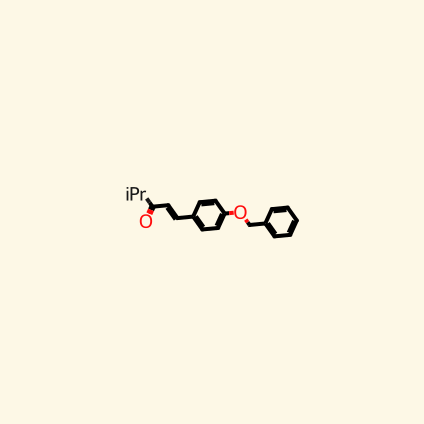 CC(C)C(=O)C=Cc1ccc(OCc2ccccc2)cc1